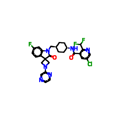 O=C(N[C@H]1CC[C@H](CN2C(=O)C3(CN(c4cnccn4)C3)c3ccc(F)cc32)CC1)c1cc(Cl)cnc1C(F)F